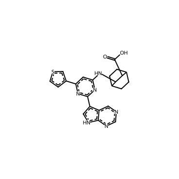 O=C(O)C1C2CCC(CC2)C1Nc1cc(-c2ccsc2)nc(-c2c[nH]c3ncncc23)n1